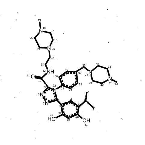 CC(C)c1cc(-c2nnc(C(=O)NCCN3CCN(C)CC3)n2-c2ccc(CN3CCN(C)CC3)cc2)c(O)cc1O